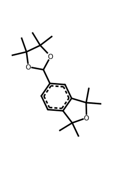 CC1(C)OC(C)(C)c2cc(C3OC(C)(C)C(C)(C)O3)ccc21